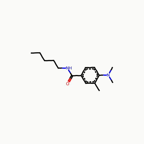 CCCCCNC(=O)c1ccc(N(C)C)c(C)c1